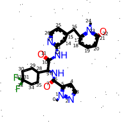 Cn1nccc1C(=O)NC(C(=O)Nc1cc(Cc2cccc(=O)n2C)ccn1)C1CCC(F)(F)CC1